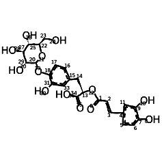 O=C(/C=C/c1ccc(O)c(O)c1)O[C@H](Cc1ccc(O[C@@H]2O[C@H](CO)[C@@H](O)[C@H](O)[C@H]2O)c(O)c1)C(=O)O